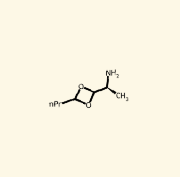 CCCC1OC([C@H](C)N)O1